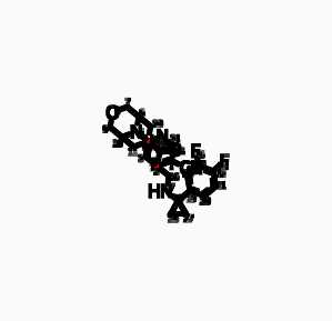 N#Cc1ccc(N2C3COCC2CN(C(=O)CCNC2(c4ccc(F)c(F)c4)CC2)C3)nc1